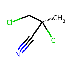 C[C@](Cl)(C#N)CCl